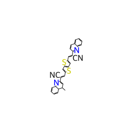 CC1C=C(/C(C#N)=C/c2cc3sc(/C=C(\C#N)c4ccc5ccccc5n4)cc3s2)N=C2C=CC=CC21